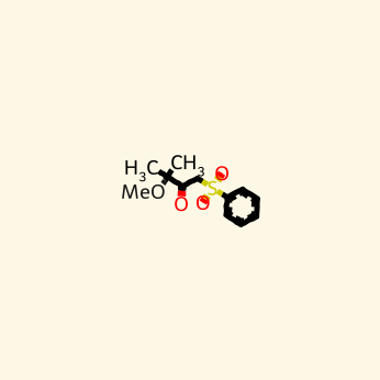 COC(C)(C)C(=O)CS(=O)(=O)c1ccccc1